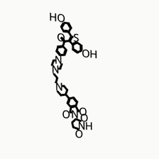 O=C1CCC(N2C(=O)c3ccc(C4CCN(CCCN5CCN(c6ccc(C(=O)c7c(-c8ccc(O)cc8)sc8cc(O)ccc78)cc6)CC5)CC4)cc3C2=O)C(=O)N1